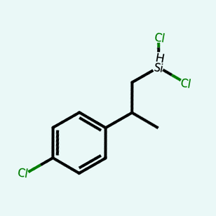 CC(C[SiH](Cl)Cl)c1ccc(Cl)cc1